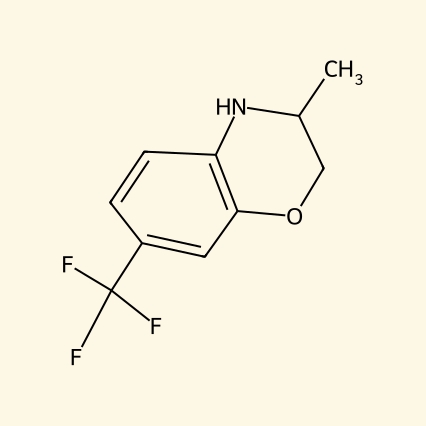 CC1COc2cc(C(F)(F)F)ccc2N1